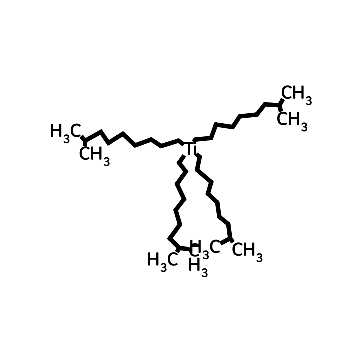 CC(C)CCCCCC[CH2][Ti]([CH2]CCCCCCC(C)C)([CH2]CCCCCCC(C)C)[CH2]CCCCCCC(C)C